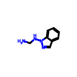 NCNn1ncc2ccccc21